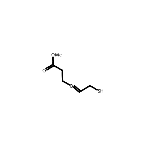 COC(=O)CC/B=C/CS